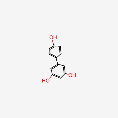 Oc1ccc(-c2cc(O)cc(O)c2)cc1